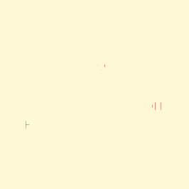 C=CC(CO)Oc1ccc(F)cc1